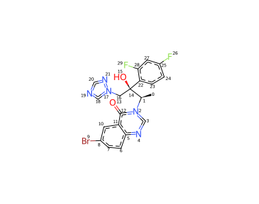 C[C@@H](n1cnc2ccc(Br)cc2c1=O)[C@](O)(Cn1cncn1)c1ccc(F)cc1F